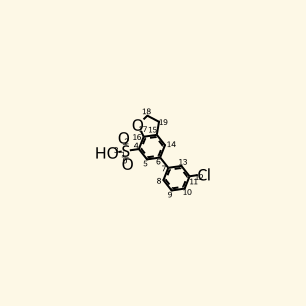 O=S(=O)(O)c1cc(-c2cccc(Cl)c2)cc2c1OCC2